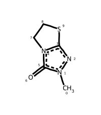 Cn1nc2n(c1=O)CCS2